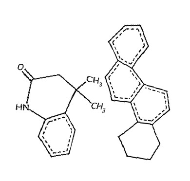 CC1(C)CC(=O)Nc2ccccc21.c1ccc2c(c1)ccc1c3c(ccc12)CCCC3